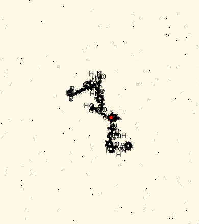 Cc1c(-c2ccc(-c3ccc4nccc(C(=O)Nc5nc6ccccc6s5)c4c3)nc2C(=O)O)cnn1CC12CC3(C)CC(C)(C1)CC(OCCN(CCC(=O)O)C(=O)OCc1ccc(NC(=O)[C@H](CCCNC(N)=O)NC(=O)[C@@H](NC(=O)CCCCCN4C(=O)C=CC4=O)C(C)C)cc1)(C3)C2